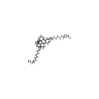 CCCCCCCCOc1cccc(-c2cccc(F)c2-c2cccc(OCCCCCCCC)c2C(F)(F)F)c1